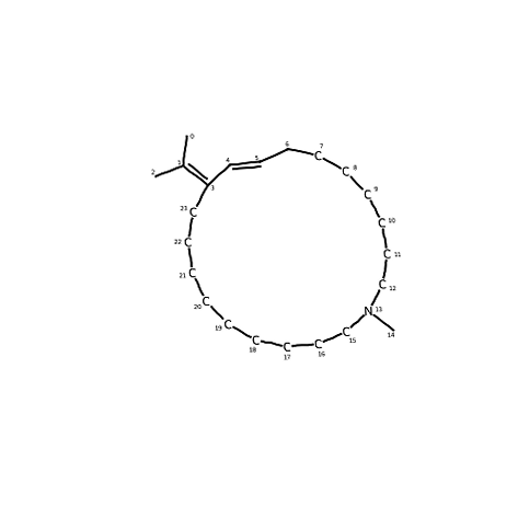 CC(C)=C1/C=C/CCCCCCCN(C)CCCCCCCCC1